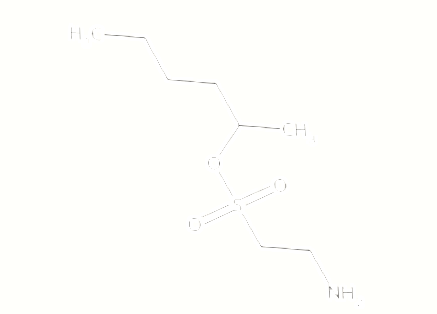 CCCCC(C)OS(=O)(=O)CCN